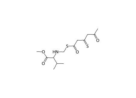 COC(=O)C(NCSC(=O)CC(=S)CC(C)=O)C(C)C